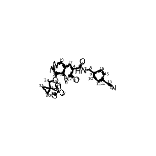 Cn1c(=O)c(C(=O)NCc2ccc(C#N)cc2)cc2cnnc(OCC3(S(=O)(=O)Cl)CC3)c21